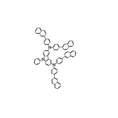 c1ccc(-n2c3ccc(N(c4ccc(-c5ccc6ccccc6c5)cc4)c4ccc(-c5ccc6ccccc6c5)cc4)cc3c3cc(N(c4ccc(-c5ccc6ccccc6c5)cc4)c4ccc(-c5ccc6ccccc6c5)cc4)ccc32)cc1